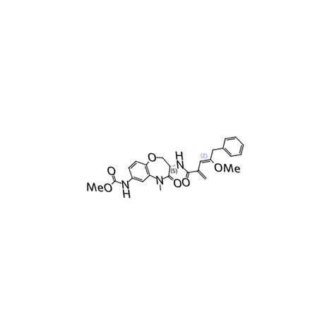 C=C(/C=C(/Cc1ccccc1)OC)C(=O)N[C@H]1COc2ccc(NC(=O)OC)cc2N(C)C1=O